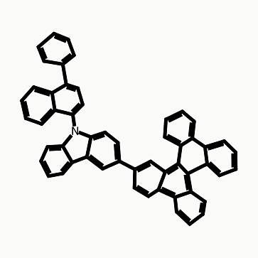 c1ccc(-c2ccc(-n3c4ccccc4c4cc(-c5ccc6c7ccccc7c7c8ccccc8c8ccccc8c7c6c5)ccc43)c3ccccc23)cc1